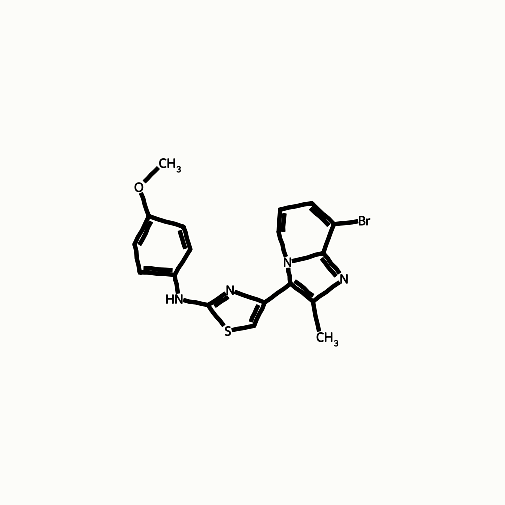 COc1ccc(Nc2nc(-c3c(C)nc4c(Br)cccn34)cs2)cc1